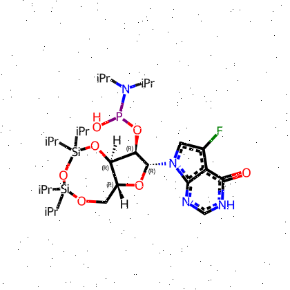 CC(C)N(C(C)C)P(O)O[C@@H]1[C@@H]2O[Si](C(C)C)(C(C)C)O[Si](C(C)C)(C(C)C)OC[C@H]2O[C@H]1n1cc(F)c2c(=O)[nH]cnc21